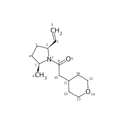 C=C[C@@H]1CC[C@H](C)N1C(=O)CC1CCOCC1